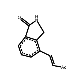 CC(=O)C=Cc1cccc2c1CNC2=O